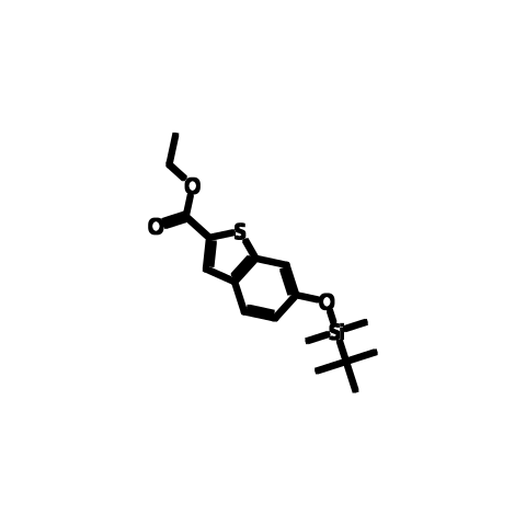 CCOC(=O)c1cc2ccc(O[Si](C)(C)C(C)(C)C)cc2s1